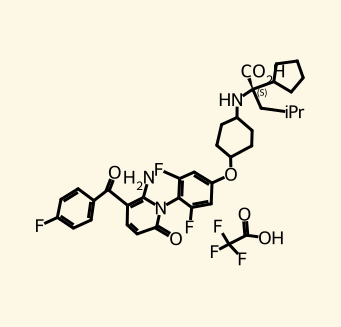 CC(C)C[C@@](NC1CCC(Oc2cc(F)c(-n3c(N)c(C(=O)c4ccc(F)cc4)ccc3=O)c(F)c2)CC1)(C(=O)O)C1CCCC1.O=C(O)C(F)(F)F